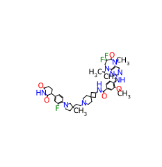 COc1cc(C(=O)NC2CC3(CCN(CCC4(C)CCN(c5ccc(C6CCC(=O)NC6=O)cc5F)C4)CC3)C2)ccc1Nc1ncc2c(n1)N(C(C)C)CC(F)(F)C(=O)N2C